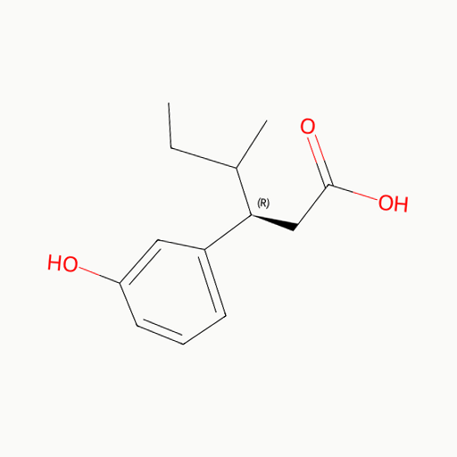 CCC(C)[C@@H](CC(=O)O)c1cccc(O)c1